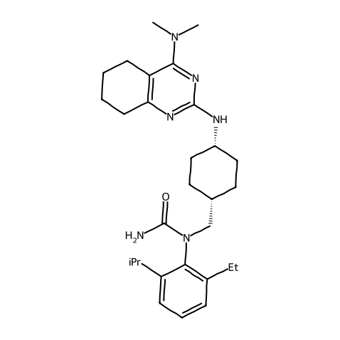 CCc1cccc(C(C)C)c1N(C[C@H]1CC[C@@H](Nc2nc3c(c(N(C)C)n2)CCCC3)CC1)C(N)=O